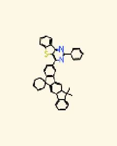 CC1(C)c2ccccc2C2C=C3C(=CC21)c1cc(-c2nc(C4C=CC=CC4)nc4c2sc2ccccc24)ccc1C31CCCCC1